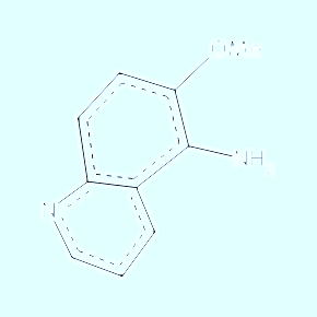 COc1ccc2ncccc2c1N